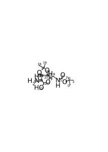 CC(C)(C)OC(=O)NC[C@H]1OC(O)[C@H](N)[C@H]2OC(C)(C)O[C@H]21